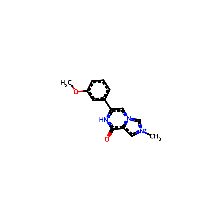 COc1cccc(-c2cn3c[n+](C)cc3c(=O)[nH]2)c1